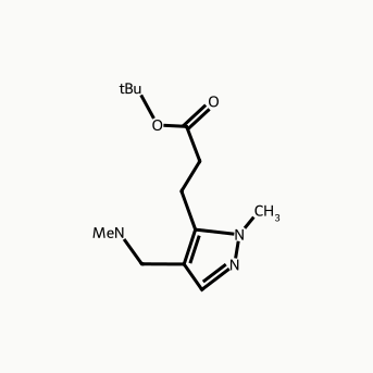 CNCc1cnn(C)c1CCC(=O)OC(C)(C)C